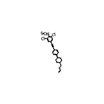 CCCCC1CCC(c2ccc(C#Cc3cc(Cl)c(N=C=S)c(Cl)c3)cc2)CC1